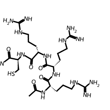 CC(=O)N[C@@H](CCCNC(=N)N)C(=O)N[C@@H](CCCNC(=N)N)C(=O)N[C@@H](CCCNC(=N)N)C(=O)N[C@@H](CS)C(N)=O